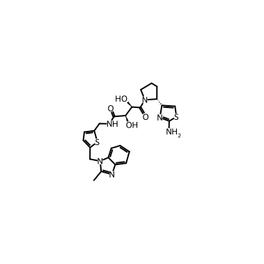 Cc1nc2ccccc2n1Cc1ccc(CNC(=O)[C@H](O)[C@@H](O)C(=O)N2CCC[C@@H]2c2csc(N)n2)s1